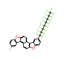 Fc1ccc2oc3ccc4c(ccc5oc6ccc(C(F)(F)C(F)(F)C(F)(F)C(F)(F)C(F)(F)C(F)(F)C(F)(F)C(F)(F)F)cc6c54)c3c2c1